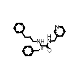 O=C(NCc1cccnc1)[C@H](Cc1ccccc1)NCCCc1ccccc1